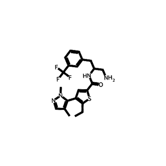 CCc1sc(C(=O)NC(CN)Cc2cccc(C(F)(F)F)c2)cc1-c1c(C)cnn1C